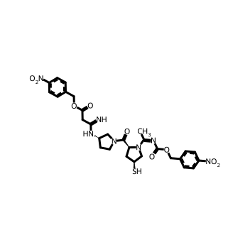 CC(=NC(=O)OCc1ccc([N+](=O)[O-])cc1)N1C[C@@H](S)C[C@H]1C(=O)N1CC[C@H](NC(=N)CC(=O)OCc2ccc([N+](=O)[O-])cc2)C1